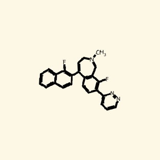 CN1CC=C(c2ccc3ccccc3c2F)c2ccc(-c3cccnn3)c(F)c2C1